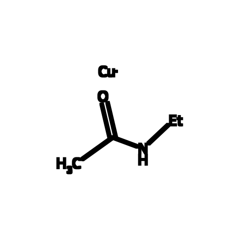 CCNC(C)=O.[Cu]